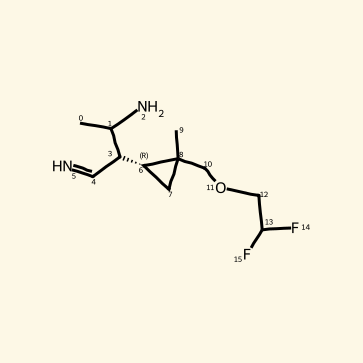 CC(N)C(C=N)[C@H]1CC1(C)COCC(F)F